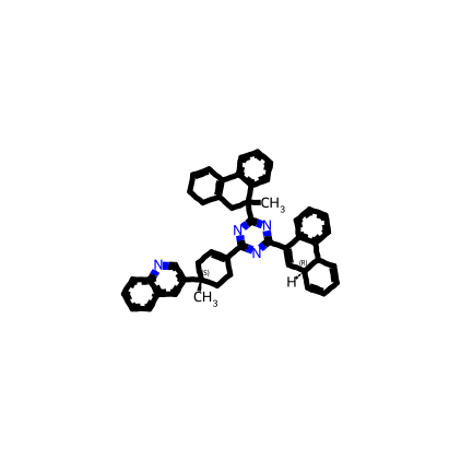 CC1(c2nc(C3=CC[C@@](C)(c4cnc5ccccc5c4)CC3)nc(C3=C[C@@H]4C=CC=CC4c4ccccc43)n2)CC2=C(C=CCC2)c2ccccc21